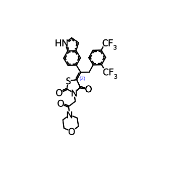 O=C(CN1C(=O)S/C(=C(/Cc2ccc(C(F)(F)F)cc2C(F)(F)F)c2ccc3[nH]ccc3c2)C1=O)N1CCOCC1